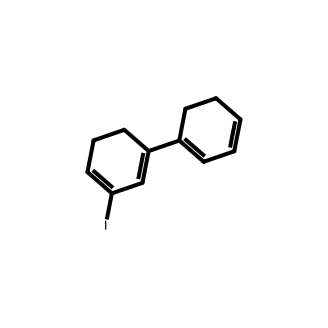 IC1=CCCC(C2=CC=CCC2)=C1